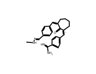 CNN=Cc1ccc(/C=C2/CCCC/C(=C/c3ccc(C(=N)N)cc3)C2=O)cc1